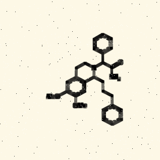 COc1cc2c(cc1OC)C(CCCc1ccccc1)N(C(C(N)=O)c1ccccc1)CC2